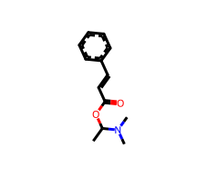 CC(OC(=O)/C=C/c1ccccc1)N(C)C